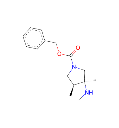 CN[C@]1(C)CN(C(=O)OCc2ccccc2)C[C@@H]1C